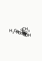 Cc1ccc(COc2ccc3nc([C@H]4CCCC[C@H]4C(=O)O)n(Cc4ccccc4C)c3c2)nc1